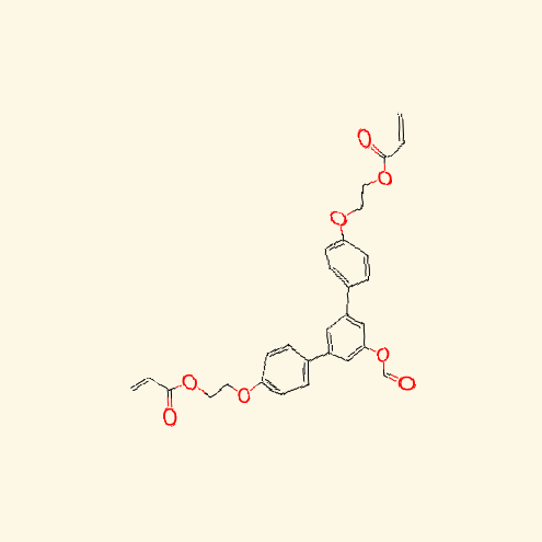 C=CC(=O)OCCOc1ccc(-c2cc(OC=O)cc(-c3ccc(OCCOC(=O)C=C)cc3)c2)cc1